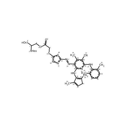 CCCCCCCCC(CCCCCC)COC(=O)CSc1nnc(N=Nc2c(NC3=C(C)CC=C3C)nc(Nc3c(C)cccc3C)c(C#N)c2C)s1